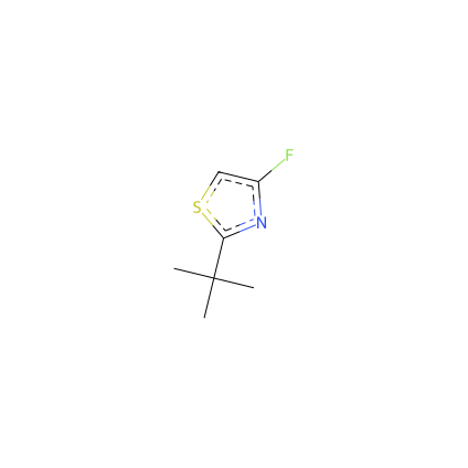 CC(C)(C)c1nc(F)cs1